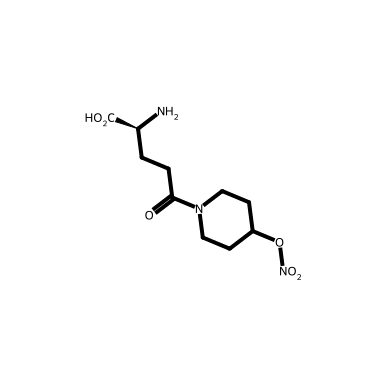 N[C@@H](CCC(=O)N1CCC(O[N+](=O)[O-])CC1)C(=O)O